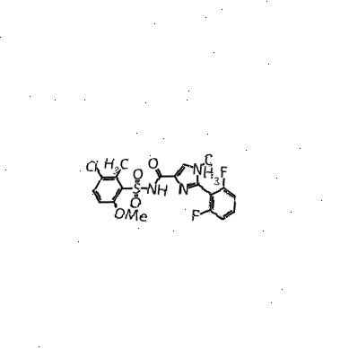 COc1ccc(Cl)c(C)c1S(=O)(=O)NC(=O)c1cn(C)c(-c2c(F)cccc2F)n1